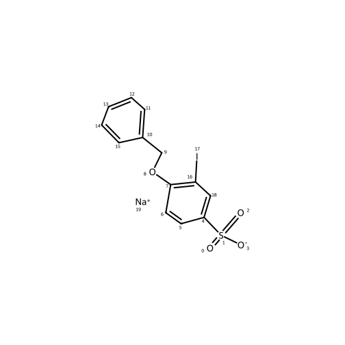 O=S(=O)([O-])c1ccc(OCc2ccccc2)c(I)c1.[Na+]